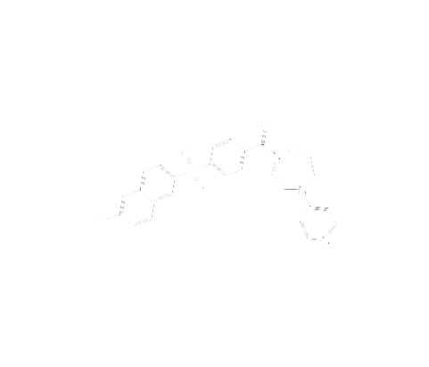 O=C(c1ccc(S(=O)(=O)c2ccc3cc(Br)ccc3c2)cc1)N1CCCN(c2ccncc2)CC1